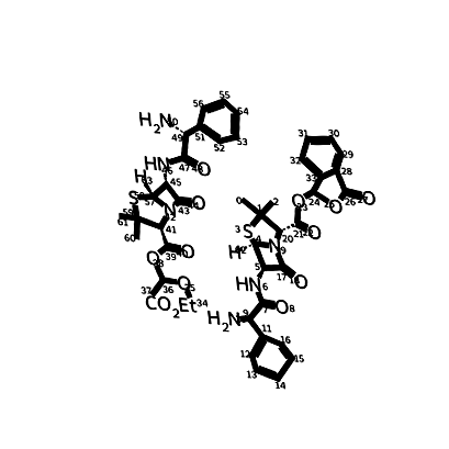 CC1(C)S[C@@H]2[C@H](NC(=O)C(N)c3ccccc3)C(=O)N2[C@H]1C(=O)OC1OC(=O)c2ccccc21.CCOC(=O)OC(C)OC(=O)[C@@H]1N2C(=O)[C@@H](NC(=O)[C@H](N)c3ccccc3)[C@H]2SC1(C)C